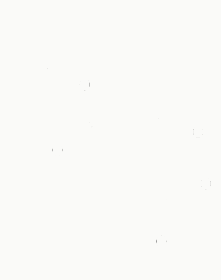 CC(=O)C(C(=O)OC(C)(C)C)C1CCOC1=O